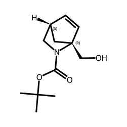 CC(C)(C)OC(=O)N1C[C@@H]2C=C[C@@]1(CO)C2